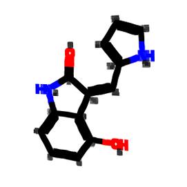 O=C1Nc2cccc(O)c2C1=Cc1ccc[nH]1